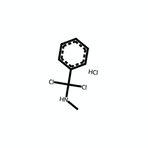 CNC(Cl)(Cl)c1ccccc1.Cl